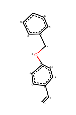 C=Cc1ccc(OCc2ccccc2)cc1